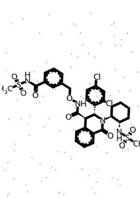 CS(=O)(=O)NC(=O)c1cccc(CONC(=O)[C@@H]2c3ccccc3C(=O)N([C@H]3CCCC[C@@H]3NS(C)(=O)=O)[C@H]2c2ccc(Cl)cc2Cl)c1